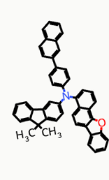 CC1(C)c2ccccc2-c2cc(N(c3ccc(-c4ccc5ccccc5c4)cc3)c3cccc4c3ccc3c5ccccc5oc43)ccc21